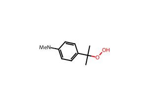 CNc1ccc(C(C)(C)OO)cc1